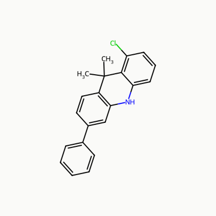 CC1(C)c2ccc(-c3ccccc3)cc2Nc2cccc(Cl)c21